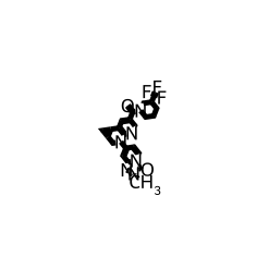 Cn1nc2cc(N3CC4CC4c4cc(C(=O)N5CCCC(C(F)(F)F)C5)cnc43)ccn2c1=O